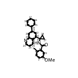 COc1ccc(C)c(C(=O)NC2(c3cc(-c4ccccc4)cc4ncccc34)CC2)c1